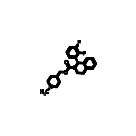 CN1CCC(COC(=O)N2CCc3ccccc3[C@@H]2c2cccc(F)c2F)CC1